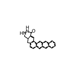 O=C1NNCC2Cc3ccc4cc5cc6ccccc6cc5cc4c3C=C12